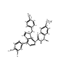 C[C@@H](NC(=O)c1ccc(-c2ccc(F)c(F)c2)c2ccn(Cc3ccc(C(F)(F)F)cc3)c12)c1ccc(C(=O)O)cc1